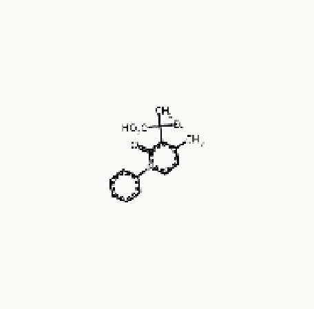 CCC(C)(C(=O)O)c1c(C)ccn(-c2ccccc2)c1=O